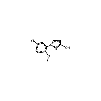 COc1ccc(Cl)cc1-n1ccc(O)n1